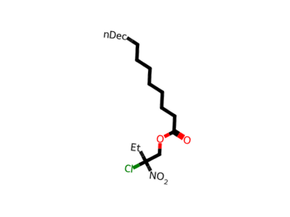 CCCCCCCCCCCCCCCCCC(=O)OCC(Cl)(CC)[N+](=O)[O-]